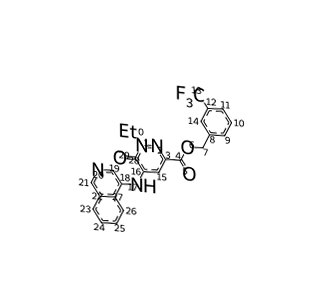 CCn1nc(C(=O)OCc2cccc(C(F)(F)F)c2)cc(Nc2cncc3ccccc23)c1=O